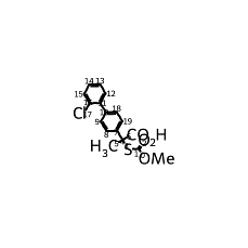 COC(=O)SC(C)(C(=O)O)c1ccc(-c2ccccc2Cl)cc1